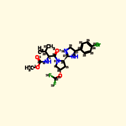 COC(=O)N[C@H](C(=O)N1C[C@@H](OC(F)F)C[C@H]1C1=NCC(c2ccc(Br)cc2)N1)C(C)C